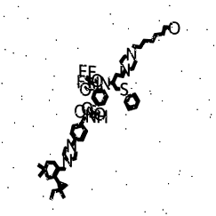 CCC1(C)CC1C1=C(CN2CCN(c3ccc(C(=O)NS(=O)(=O)c4ccc(NC(CCN5CCN(CCCCCCC=O)CC5)CSc5ccccc5)c(S(=O)(=O)C(F)(F)F)c4)cc3)CC2)CCC(C)(C)C1